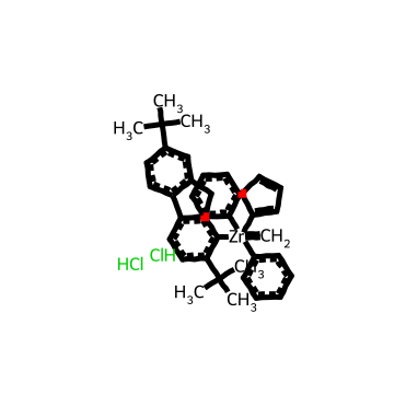 Cl.Cl.[CH2]=[Zr]([C]1=CC=CC1)([c]1ccccc1)([c]1ccccc1)[c]1c(C(C)(C)C)ccc2c1Cc1cc(C(C)(C)C)ccc1-2